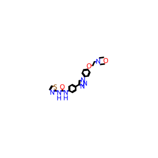 O=C(Nc1ccc(-c2cn(-c3ccc(OCCN4CCOCC4)cc3)nn2)cc1)Nc1nccs1